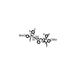 COc1ccc(N(CCF)C(=O)[C@H](Cc2cc(F)cc(F)c2)NC(=O)Cn2c(=O)n(CC(=O)N[C@@H](Cc3cc(F)cc(F)c3)C(=O)N(CCF)c3ccc(OC)cc3)c3ccccc32)cc1